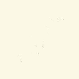 CNC(=O)c1ccc(Oc2cc(C3(O)C(C)CCCC3C)nc(NS(=O)(=O)c3cnn(C)c3)n2)cn1